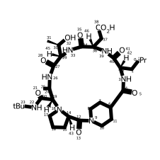 CC(C)C[C@@H]1NC(=O)C2CCN(CC2)C(=O)[C@@H]2CCCN2[C@H](C(=O)NC(C)(C)C)C(C)NC(=O)[C@H]([C@@H](C)O)NC(=O)[C@H](CC(=O)O)NC1=O